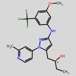 CC[C@H](O)Cc1cc(Nc2cc(OC)cc(C(F)(F)F)c2)nn1-c1ccnc(C)c1